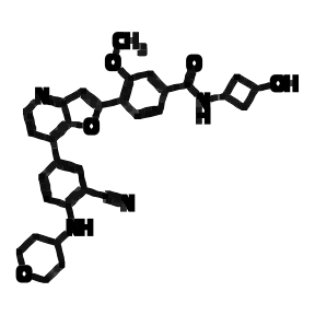 COc1cc(C(=O)NC2CC(O)C2)ccc1-c1cc2nccc(-c3ccc(NC4CCOCC4)c(C#N)c3)c2o1